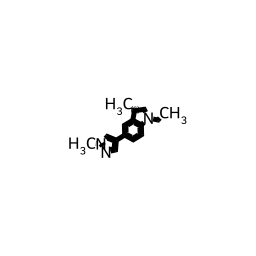 CCN1C[C@@H](C)c2cc(-c3cnn(C)c3)ccc21